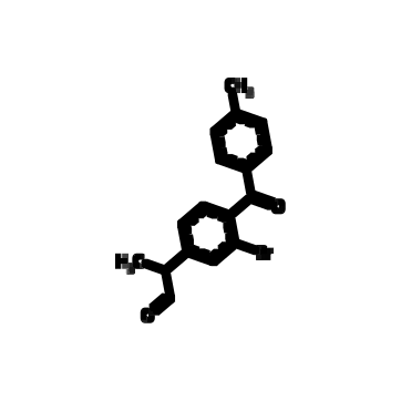 Cc1ccc(C(=O)c2ccc(C(C)C=O)cc2Br)cc1